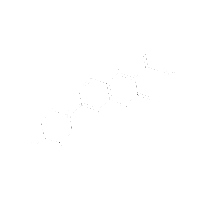 COC(=O)c1cc2ccc(N3CCN(C)CC3)nc2[nH]c1=O